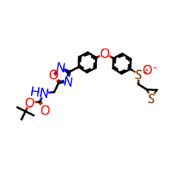 CC(C)(C)OC(=O)NCc1nc(-c2ccc(Oc3ccc([S+]([O-])CC4CS4)cc3)cc2)no1